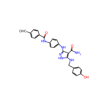 NC(=O)c1c(Nc2ccc(NC(=O)c3ccc(C=O)cc3)cc2)n[nH]c1NCc1ccc(O)cc1